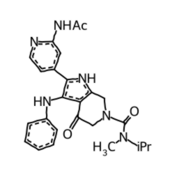 CC(=O)Nc1cc(-c2[nH]c3c(c2Nc2ccccc2)C(=O)CN(C(=O)N(C)C(C)C)C3)ccn1